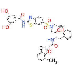 Cc1cccc(C)c1OCC(=O)N[C@@H](Cc1ccccc1)[C@H](O)CN(CC(C)C)S(=O)(=O)c1ccc2nc(NC(=O)c3cc(O)cc(O)c3)sc2c1